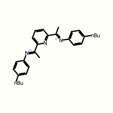 CCCCc1ccc(/N=C(\C)c2cccc(/C(C)=N/c3ccc(CCCC)cc3)n2)cc1